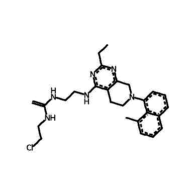 C=C(NCCCl)NCCNc1nc(CC)nc2c1CCN(c1cccc3cccc(C)c13)C2